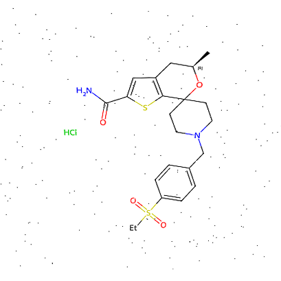 CCS(=O)(=O)c1ccc(CN2CCC3(CC2)O[C@H](C)Cc2cc(C(N)=O)sc23)cc1.Cl